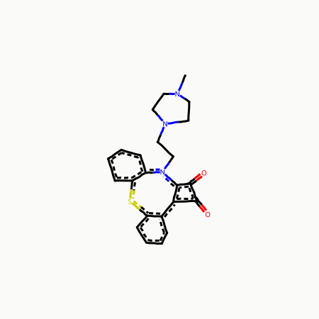 CN1CCN(CCn2c3ccccc3sc3ccccc3c3c(=O)c(=O)c32)CC1